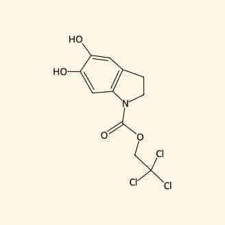 O=C(OCC(Cl)(Cl)Cl)N1CCc2cc(O)c(O)cc21